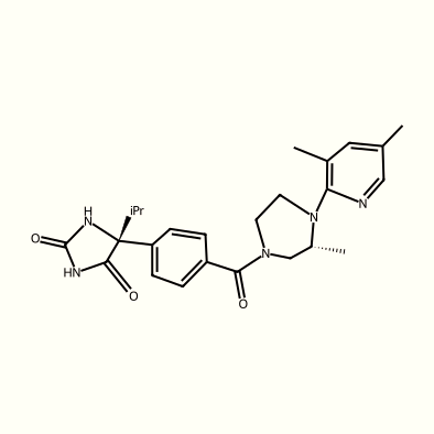 Cc1cnc(N2CCN(C(=O)c3ccc([C@@]4(C(C)C)NC(=O)NC4=O)cc3)C[C@H]2C)c(C)c1